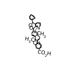 CC1(C)C(c2ccc(C(=O)O)cc2)=CC[C@]2(C)CN(C(=O)c3ncccc3C(=O)c3ccccc3)CC=C12